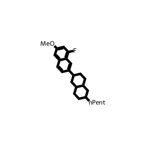 CCCCCC1CCC2CC(c3ccc4cc(OC)cc(F)c4c3)CCC2C1